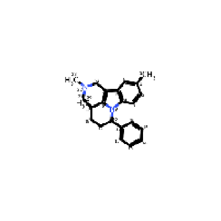 Cc1ccc2c(c1)c1c3n2C(c2ccccc2)CCC3(C)CN(C)C1